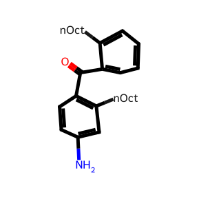 CCCCCCCCc1ccccc1C(=O)c1ccc(N)cc1CCCCCCCC